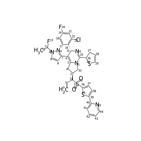 C=CC([C@H]1CC2=C(c3ccn(C(C)F)n3)[C@H](c3ccc(F)cc3Cl)N=C(C3CC=CS3)N2C1)S(=O)(=O)c1ccc(-c2ccccn2)s1